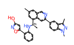 Cc1cc([C@@H](C)Nc2ccccc2-c2cc(O)no2)c2cc(-c3ccc4c(c3)c(C)nn4C)ncc2c1